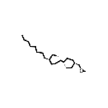 CCCCCCCC[C@H]1CC[C@H]([C@H]2CC[C@H](COC)CC2)CC1